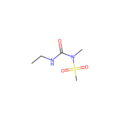 CCNC(=O)N(C)S(C)(=O)=O